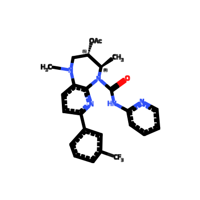 CC(=O)O[C@H]1CN(C)c2ccc(-c3cccc(C(F)(F)F)c3)nc2N(C(=O)Nc2ccccn2)[C@@H]1C